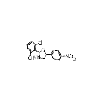 O=[N+]([O-])c1ccc(C2CNC(c3c(Cl)cccc3Cl)O2)cc1